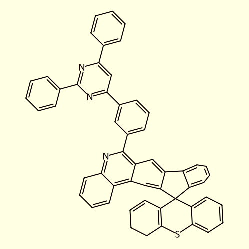 C1=CC2=C(CC1)Sc1ccccc1C21c2ccccc2-c2cc3c(-c4cccc(-c5cc(-c6ccccc6)nc(-c6ccccc6)n5)c4)nc4ccccc4c3cc21